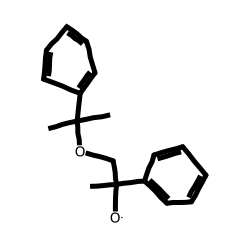 CC([O])(COC(C)(C)c1ccccc1)c1ccccc1